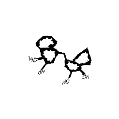 Oc1cc(Cc2cc(O)c(O)c3ccccc23)c2ccccc2c1O